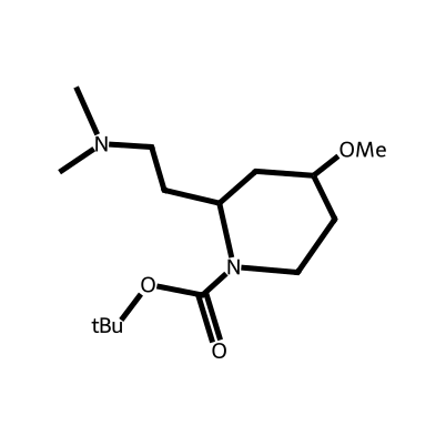 COC1CCN(C(=O)OC(C)(C)C)C(CCN(C)C)C1